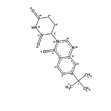 CC(C)(C)c1ccc2c(=O)n(C3CCC(=O)NC3=O)cnc2c1